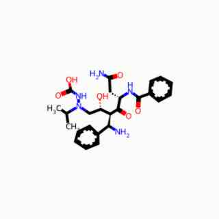 CC(C)N(C[C@H](O)[C@@H](C(=O)[C@H](CC(N)=O)NC(=O)c1ccccc1)C(N)c1ccccc1)NC(=O)O